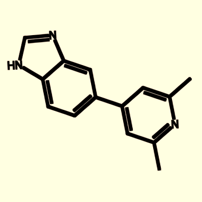 Cc1cc(-c2ccc3[nH]cnc3c2)cc(C)n1